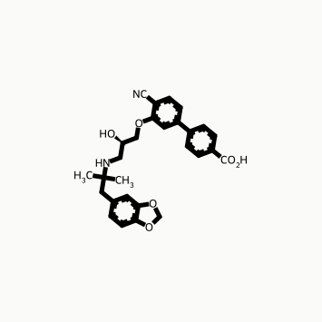 CC(C)(Cc1ccc2c(c1)OCO2)NC[C@@H](O)COc1cc(-c2ccc(C(=O)O)cc2)ccc1C#N